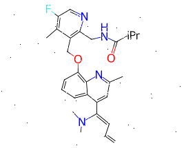 C=C/C=C(/c1cc(C)nc2c(OCc3c(CNC(=O)C(C)C)ncc(F)c3C)cccc12)N(C)C